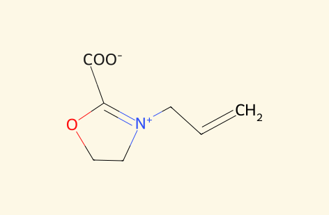 C=CC[N+]1=C(C(=O)[O-])OCC1